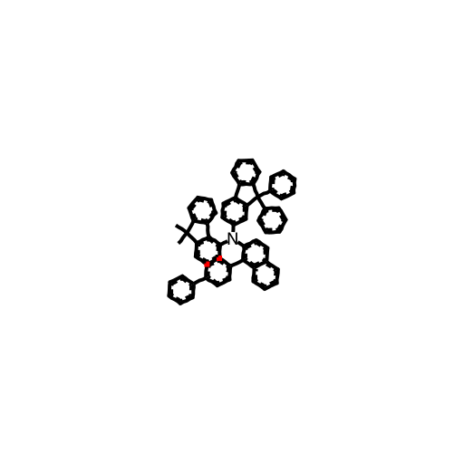 CC1(C)c2ccccc2-c2c(N(c3ccc4c(c3)C(c3ccccc3)(c3ccccc3)c3ccccc3-4)c3ccc4ccccc4c3-c3ccc(-c4ccccc4)cc3)cccc21